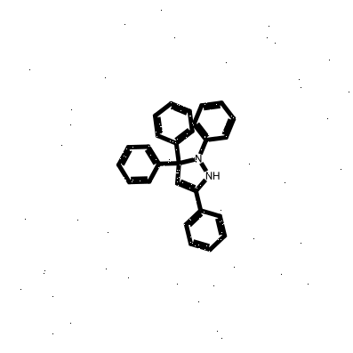 C1=C(c2ccccc2)NN(c2ccccc2)C1(c1ccccc1)c1ccccc1